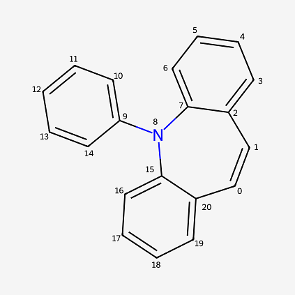 C1=Cc2ccccc2N(c2ccccc2)c2ccccc21